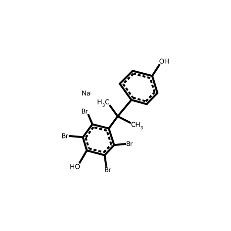 CC(C)(c1ccc(O)cc1)c1c(Br)c(Br)c(O)c(Br)c1Br.[Na]